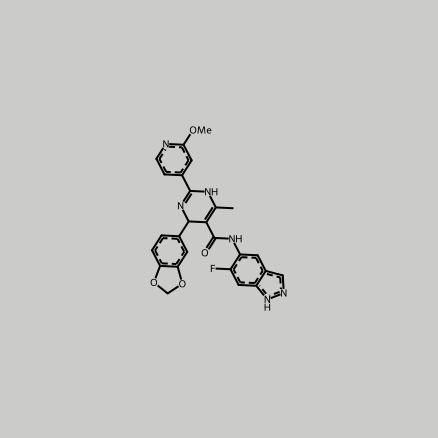 COc1cc(C2=NC(c3ccc4c(c3)OCO4)C(C(=O)Nc3cc4cn[nH]c4cc3F)=C(C)N2)ccn1